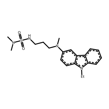 CCn1c2ccccc2c2cc(N(C)CCCNS(=O)(=O)N(C)C)ccc21